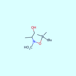 CC(CO)N(O[Si](C)(C)C(C)(C)C)C(=O)O